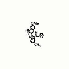 COc1ccc2cc(-c3nc4ccc(C)cn4c3NCc3ccco3)c(=O)[nH]c2c1